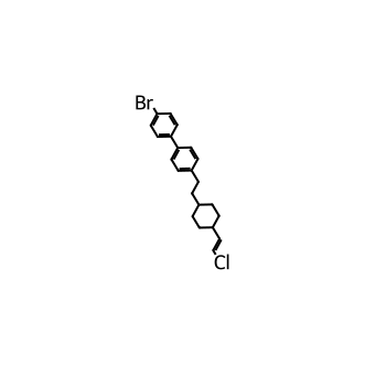 Cl/C=C/C1CCC(CCc2ccc(-c3ccc(Br)cc3)cc2)CC1